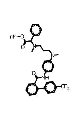 CCCOC(=O)C(c1ccccc1)N(C)CCCN(C)c1ccc(NC(=O)c2ccccc2-c2ccc(C(F)(F)F)cc2)cc1